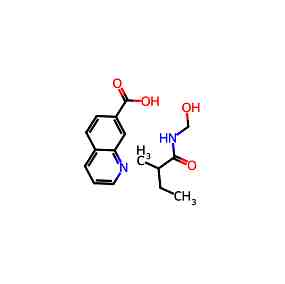 CCC(C)C(=O)NCO.O=C(O)c1ccc2cccnc2c1